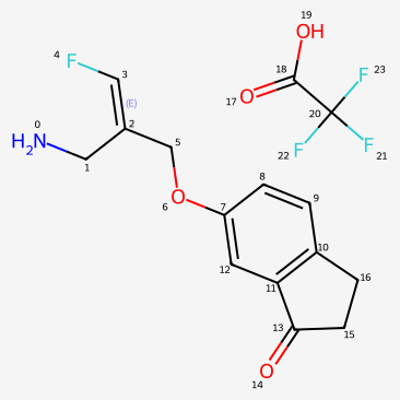 NC/C(=C\F)COc1ccc2c(c1)C(=O)CC2.O=C(O)C(F)(F)F